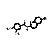 Cc1ccc(C(=O)Nc2ccc3cc(Br)ccc3n2)cc1C